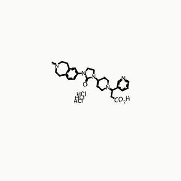 CN1CCc2ccc(N3CCN(C4CCN(C(CC(=O)O)c5cccnc5)CC4)C3=O)cc2CC1.Cl.Cl.Cl